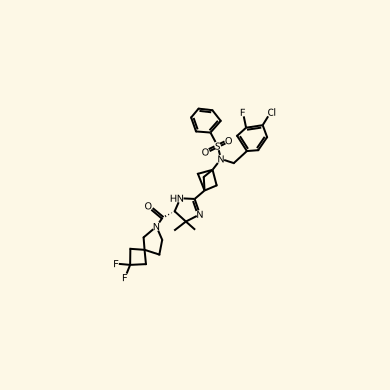 CC1(C)N=C(C23CC(N(Cc4ccc(Cl)c(F)c4)S(=O)(=O)c4ccccc4)(C2)C3)N[C@H]1C(=O)N1CCC2(C1)CC(F)(F)C2